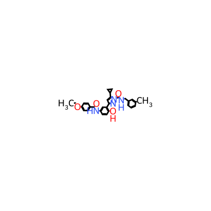 CCOc1ccc(C(=O)Nc2ccc(O)c(-c3cc(C4CC4)n(C(=O)NCc4cccc(C)c4)n3)c2)cc1